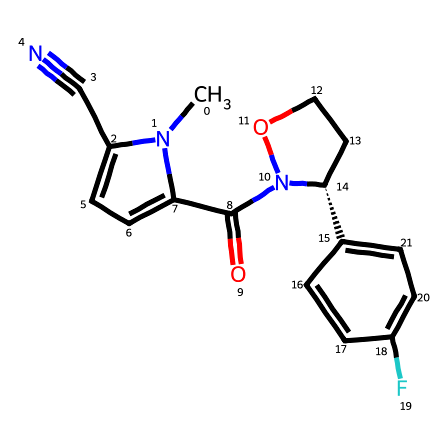 Cn1c(C#N)ccc1C(=O)N1OCC[C@@H]1c1ccc(F)cc1